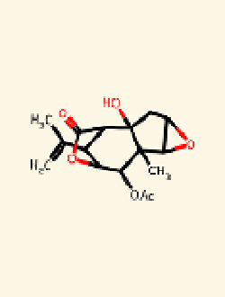 C=C(C)C1C2OC(=O)C1C1(O)CC3OC3C1(C)C2OC(C)=O